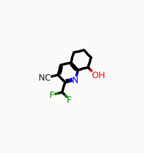 N#Cc1cc2c(nc1C(F)F)C(O)CCC2